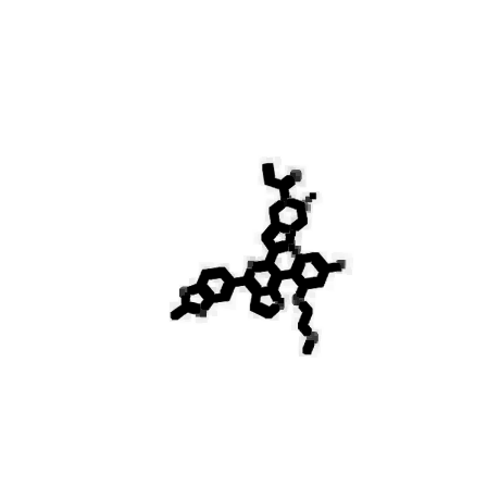 C=CC(=O)N1Cc2cc(-c3nc(-c4ccc5oc(C)nc5c4)c4ccsc4c3-c3c(F)cc(F)cc3OCCOC)nn2C[C@H]1C